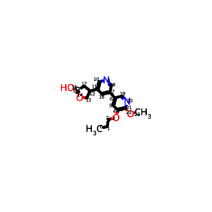 CCCOc1cc(-c2cncc(C3COB(O)C3)c2)cnc1OC